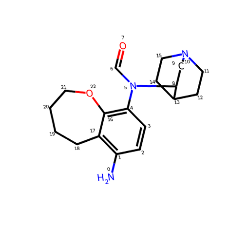 Nc1ccc(N(C=O)C2CN3CCC2CC3)c2c1CCCCO2